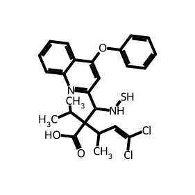 CC(C)C(C(=O)O)(C(C)C=C(Cl)Cl)C(NS)c1cc(Oc2ccccc2)c2ccccc2n1